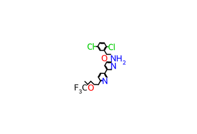 CC(Oc1cc(-c2ccc(CC3CC(C)(C(F)(F)F)O3)nc2)cnc1N)c1cc(Cl)ccc1Cl